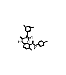 C=C(Nc1ccc(C)c(C(=C)N(C)c2ccc(C)cc2)c1)C1C(c2cc(C)cc(C)c2)C1(Cl)Cl